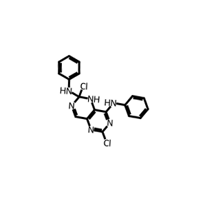 Clc1nc2c(c(Nc3ccccc3)n1)NC(Cl)(Nc1ccccc1)N=C2